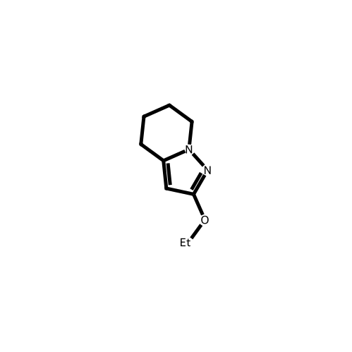 CCOc1cc2n(n1)CCCC2